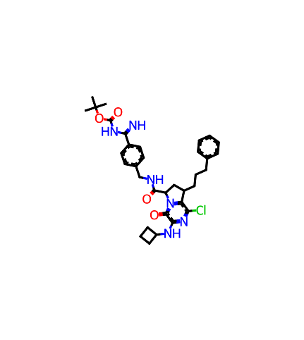 CC(C)(C)OC(=O)NC(=N)c1ccc(CNC(=O)C2CC(CCCc3ccccc3)c3c(Cl)nc(NC4CCC4)c(=O)n32)cc1